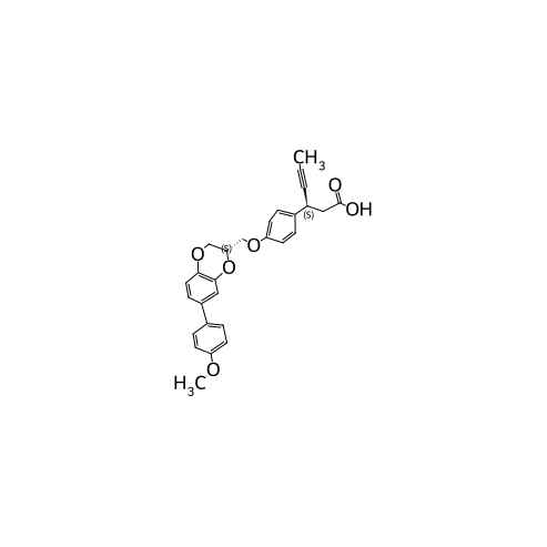 CC#C[C@@H](CC(=O)O)c1ccc(OC[C@H]2COc3ccc(-c4ccc(OC)cc4)cc3O2)cc1